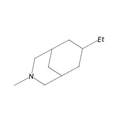 CCC1CC2CC(C1)CN(C)C2